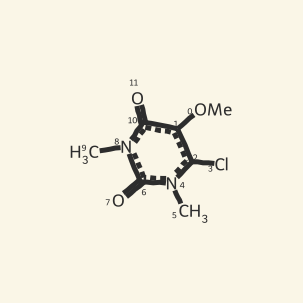 COc1c(Cl)n(C)c(=O)n(C)c1=O